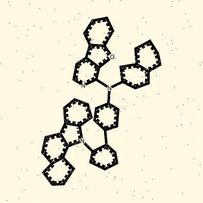 c1ccc(-n2c3ccccc3c3ccc4ccccc4c32)c(-c2ccc(N(c3ccc4ccccc4c3)c3nccc4c3oc3ccccc34)cc2)c1